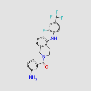 Nc1cccc(C(=O)N2CCc3c(cccc3Nc3ccc(C(F)(F)F)cc3F)C2)c1